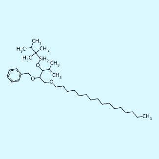 CCCCCCCCCCCCCCCCOCC(OCc1ccccc1)C(O[SiH2]C(C)(C)C(C)C)C(C)C